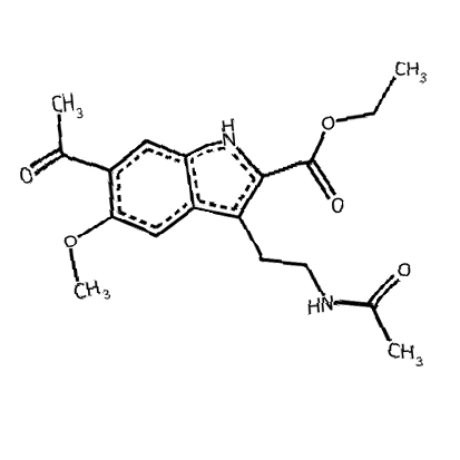 CCOC(=O)c1[nH]c2cc(C(C)=O)c(OC)cc2c1CCNC(C)=O